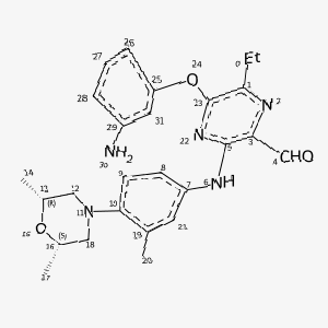 CCc1nc(C=O)c(Nc2ccc(N3C[C@@H](C)O[C@@H](C)C3)c(C)c2)nc1Oc1cccc(N)c1